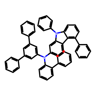 c1ccc(-c2cc(-c3ccccc3)cc(N(c3ccc4c5c(-c6ccccc6)cccc5n(-c5ccccc5)c4c3)c3ccccc3-c3ccccc3)c2)cc1